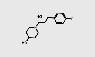 Cl.OC1CCN(CCCc2ccc(F)cc2)CC1